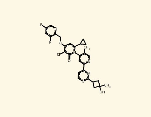 Cc1cnc(-c2ccnc(C3CC(C)(O)C3)n2)cc1-n1c(C2CC2)cc(OCc2ncc(F)cc2F)c(Cl)c1=O